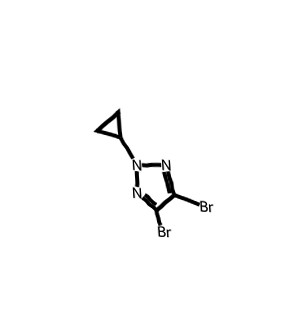 Brc1nn(C2CC2)nc1Br